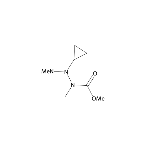 CNN(C1CC1)N(C)C(=O)OC